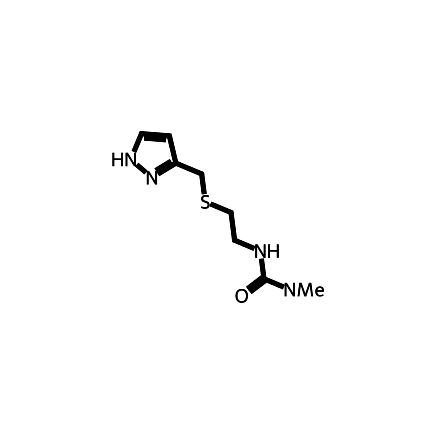 CNC(=O)NCCSCc1cc[nH]n1